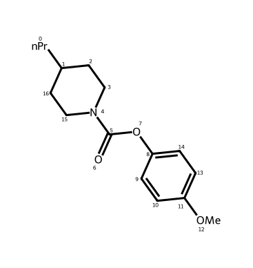 CCCC1CCN(C(=O)Oc2ccc(OC)cc2)CC1